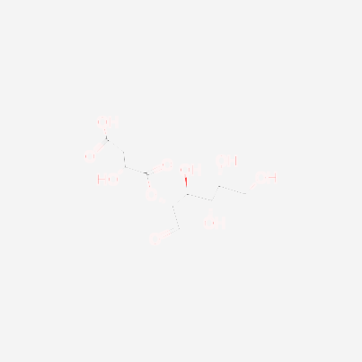 O=C[C@H](OC(=O)C(O)CC(=O)O)[C@@H](O)[C@@H](O)[C@H](O)CO